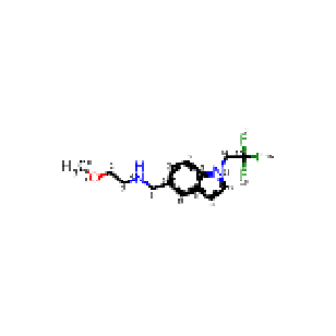 COCCNCc1ccc2c(ccn2CC(F)(F)F)c1